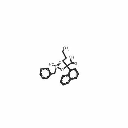 CCCCC(OP(=O)(O)Cc1ccccc1)(C(=O)O)c1cccc2ccccc12